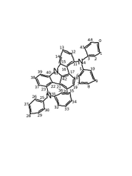 c1ccc(N(c2ccccc2)c2cccc3c2c2cccc4c5c(N(c6ccccc6)c6ccccc6)cccc5n3c24)cc1